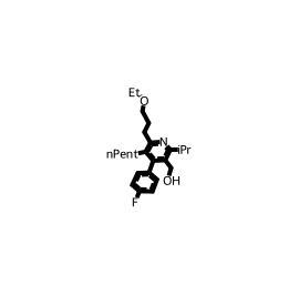 CCCCCc1c(CCCOCC)nc(C(C)C)c(CO)c1-c1ccc(F)cc1